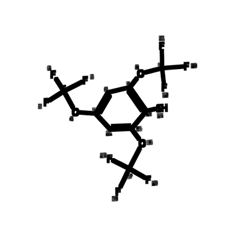 FC(F)(F)Oc1cc(OC(F)(F)F)c(S)c(OC(F)(F)F)c1